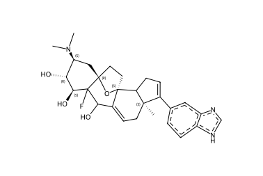 CN(C)[C@H]1C[C@@]23CC[C@@]4(O2)C(=CC[C@]2(C)C(c5ccc6[nH]cnc6c5)=CCC24)C(O)C3(F)[C@@H](O)[C@@H]1O